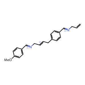 C=CC/N=C/c1ccc(C/C=C/C/N=C/c2ccc(OC)cc2)cc1